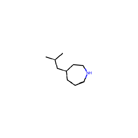 CC(C)CC1CCCNCC1